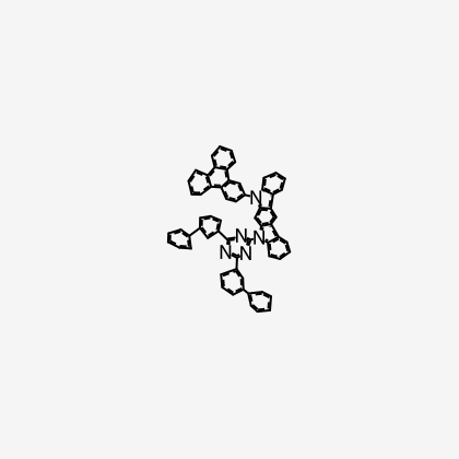 c1ccc(-c2cccc(-c3nc(-c4cccc(-c5ccccc5)c4)nc(-n4c5ccccc5c5cc6c7ccccc7n(-c7ccc8c9ccccc9c9ccccc9c8c7)c6cc54)n3)c2)cc1